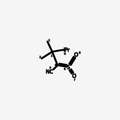 CC(C)C(C)(C)C(C#N)=S(=O)=O